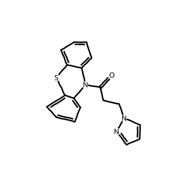 O=C(CCn1cccn1)N1c2ccccc2Sc2ccccc21